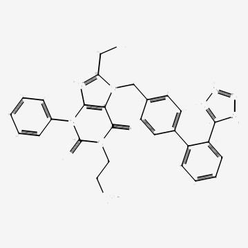 COCCn1c(=O)c2c(nc(CC(C)(C)C)n2Cc2ccc(-c3ccccc3-c3nnn[nH]3)cc2)n(-c2ccccc2)c1=O